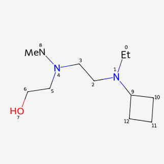 CCN(CCN(CCO)NC)C1CCC1